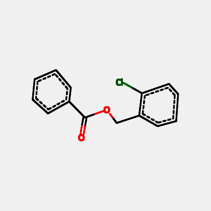 O=C(OCc1ccccc1Cl)c1ccccc1